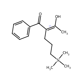 C/C(O)=C(\CCC[Si](C)(C)C)C(=O)c1ccccc1